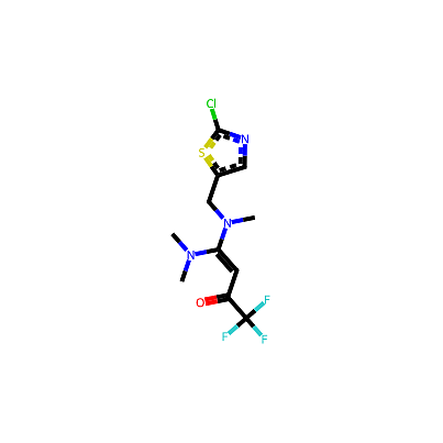 CN(C)C(=CC(=O)C(F)(F)F)N(C)Cc1cnc(Cl)s1